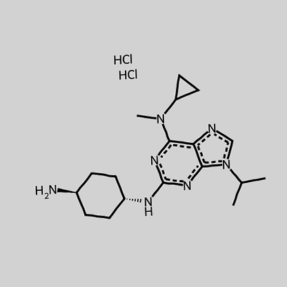 CC(C)n1cnc2c(N(C)C3CC3)nc(N[C@H]3CC[C@H](N)CC3)nc21.Cl.Cl